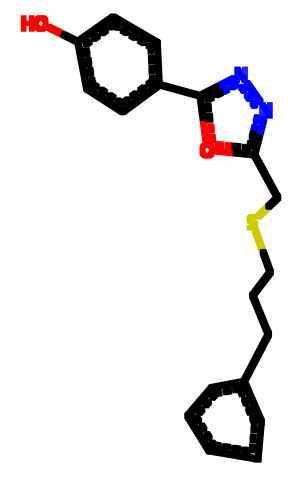 Oc1ccc(-c2nnc(CSCCCc3ccccc3)o2)cc1